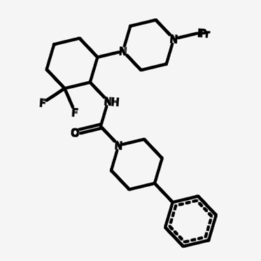 CC(C)N1CCN(C2CCCC(F)(F)C2NC(=O)N2CCC(c3ccccc3)CC2)CC1